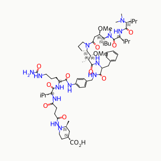 CC[C@H](C)[C@@H]([C@@H](CC(=O)N1CCC[C@H]1[C@H](OC)[C@@H](C)C(=O)NC(Cc1ccccc1)C(=O)NCc1ccc(NC(=O)[C@H](CCCNC(N)=O)NC(=O)[C@@H](NC(=O)CCC(=O)NN2CC[C@H](C(=O)O)C[C@@H]2C)C(C)C)cc1)OC)N(C)C(=O)[C@@H](NC(=O)[C@H](C(C)C)N(C)C)C(C)C